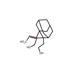 O=C(O)C=CC12CC3CC(CC(C3)C1(CCO)CCO)C2